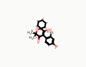 CCc1cc(Br)ccc1C1=C(O)C2(CCCCC2)OC(C)(C)C1=O